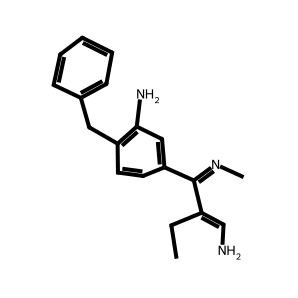 CCC(=C\N)/C(=N\C)c1ccc(Cc2ccccc2)c(N)c1